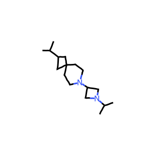 CC(C)C1CC2(CCN(C3CN(C(C)C)C3)CC2)C1